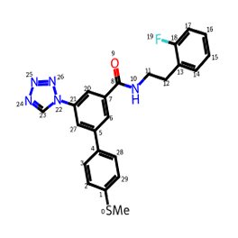 CSc1ccc(-c2cc(C(=O)NCCc3ccccc3F)cc(-n3cnnn3)c2)cc1